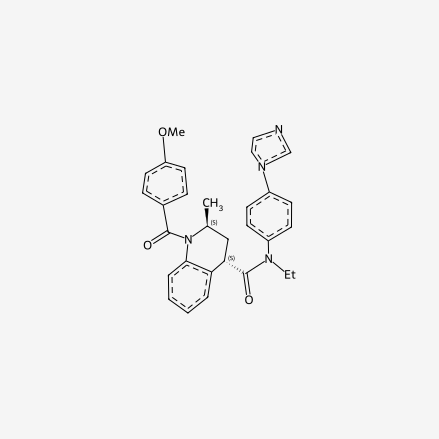 CCN(C(=O)[C@H]1C[C@H](C)N(C(=O)c2ccc(OC)cc2)c2ccccc21)c1ccc(-n2ccnc2)cc1